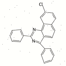 Clc1ccc2ccc3c(-c4ccccc4)nc(-c4ccccc4)nc3c2c1